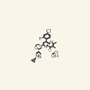 Cc1nc2c(-c3ccc(Cl)cc3F)cc(N3CCO[C@@H](c4cnn(C5CC5)c4)C3)nn2c(=O)c1C.O=CO